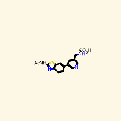 CC(=O)Nc1nc2ccc(-c3cncc(CNC(=O)O)c3)cc2s1